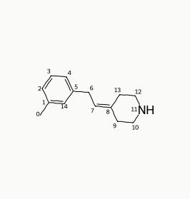 Cc1cccc(CC=C2CCNCC2)c1